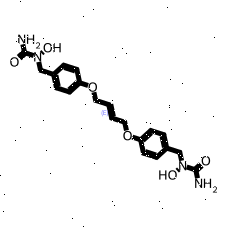 NC(=O)N(O)Cc1ccc(OC/C=C/COc2ccc(CN(O)C(N)=O)cc2)cc1